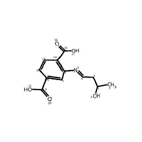 CC(O)C/C=N/c1cc(C(=O)O)ccc1C(=O)O